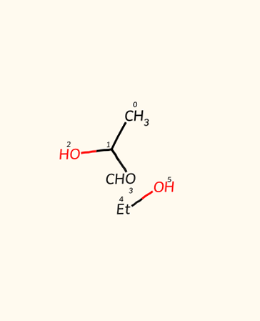 CC(O)C=O.CCO